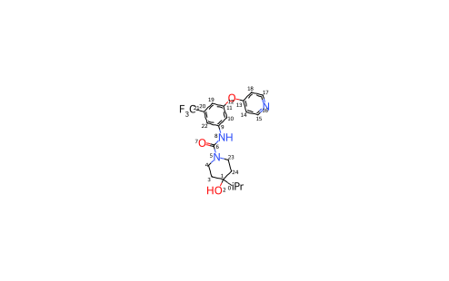 CC(C)C1(O)CCN(C(=O)Nc2cc(Oc3ccncc3)cc(C(F)(F)F)c2)CC1